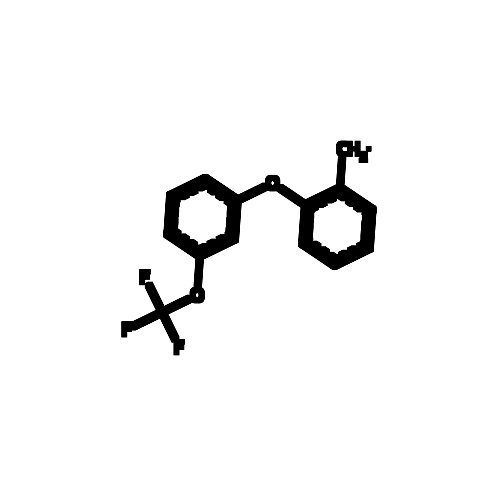 [CH2]c1ccccc1Oc1cccc(OC(F)(F)F)c1